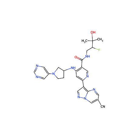 CC(C)(O)C(F)CNC(=O)c1cnc(-c2cnn3cc(C#N)cnc23)cc1NC1CCN(c2cncnc2)C1